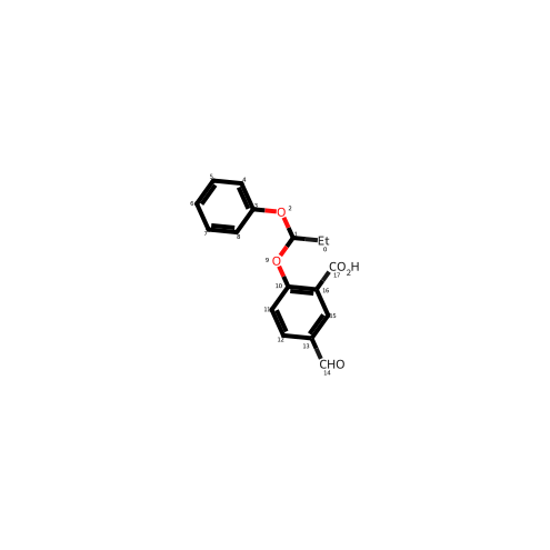 CCC(Oc1ccccc1)Oc1ccc(C=O)cc1C(=O)O